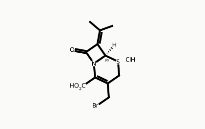 CC(C)=C1C(=O)N2C(C(=O)O)=C(CBr)CS[C@H]12.Cl